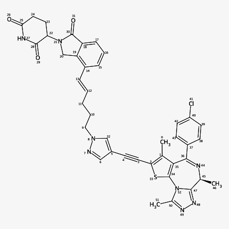 Cc1c(C#Cc2cnn(CCC/C=C/c3cccc4c3CN(C3CCC(=O)NC3=O)C4=O)c2)sc2c1C(c1ccc(Cl)cc1)=N[C@@H](C)c1nnc(C)n1-2